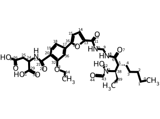 CCCCC[C@@H](C(=O)NCNC(=O)c1ccc(-c2ccc(C(=O)NC(CC(=O)O)C(=O)O)c(OCC)c2)o1)[C@@H](CC)N(O)C=O